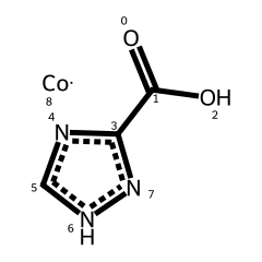 O=C(O)c1nc[nH]n1.[Co]